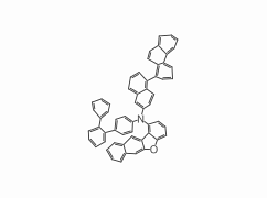 c1ccc(-c2ccccc2-c2ccc(N(c3ccc4c(-c5cccc6c5ccc5ccccc56)cccc4c3)c3cccc4oc5cc6ccccc6cc5c34)cc2)cc1